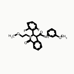 COCCN1C(=O)c2ccccc2C(C(=O)Nc2cccc(OC)c2)C1c1c(F)cccc1F